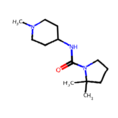 CN1CCC(NC(=O)N2CCCC2(C)C)CC1